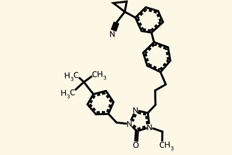 CCn1c(CCCc2ccc(-c3cccc(C4(C#N)CC4)c3)cc2)nn(Cc2ccc(C(C)(C)C)cc2)c1=O